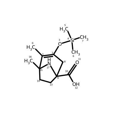 CC1=C(O[Si](C)(C)C)CC2(C(=O)O)CCC1(C)N2